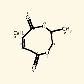 CC1COC(=O)/C=C\C(=O)O1.[CaH2]